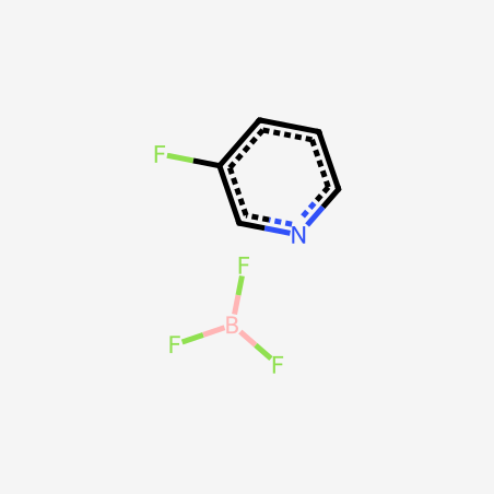 FB(F)F.Fc1cccnc1